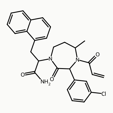 C=CC(=O)N1C(C)CCN(C(Cc2cccc3ccccc23)C(N)=O)C(=O)C1c1cccc(Cl)c1